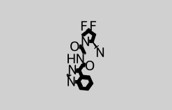 N#C[C@@H]1CC(F)(F)CN1C(=O)CNC(=O)c1ncnc2ccccc12